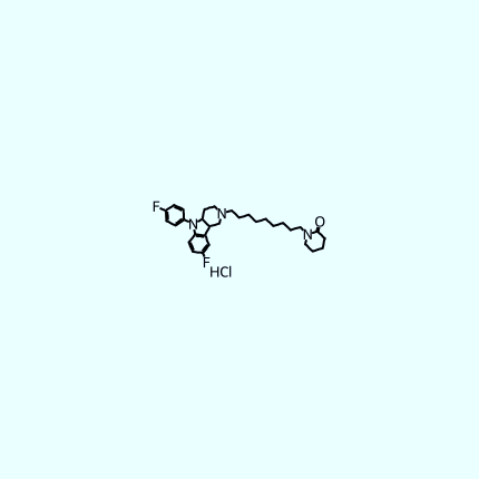 Cl.O=C1CCCCN1CCCCCCCCCN1CCC2C(C1)c1cc(F)ccc1N2c1ccc(F)cc1